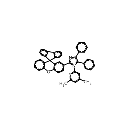 Cc1cc(C)nc(-n2c(-c3ccc4c(c3)C3(c5ccccc5O4)c4ccccc4-c4ccccc43)nc(-c3ccccc3)c2-c2ccccc2)c1